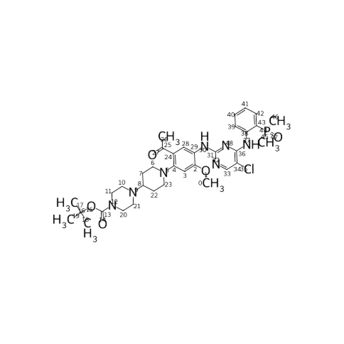 COc1cc(N2CCC(N3CCN(C(=O)OC(C)(C)C)CC3)CC2)c(C(C)=O)cc1Nc1ncc(Cl)c(Nc2ccccc2P(C)(C)=O)n1